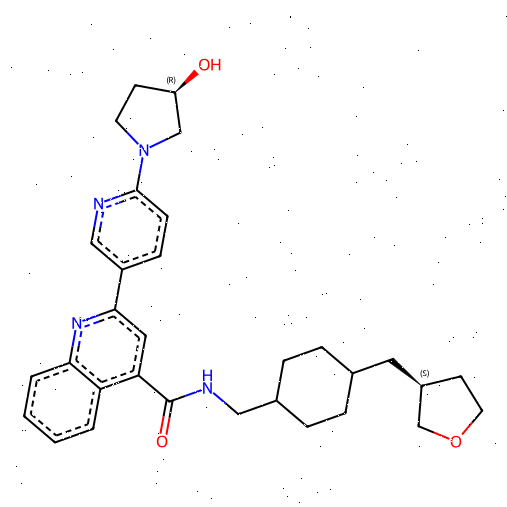 O=C(NCC1CCC(C[C@H]2CCOC2)CC1)c1cc(-c2ccc(N3CC[C@@H](O)C3)nc2)nc2ccccc12